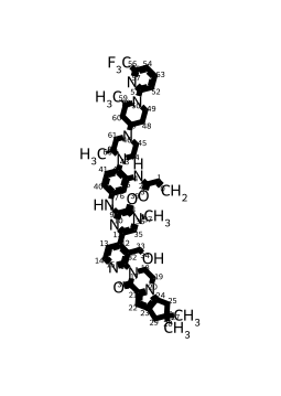 C=CC(=O)Nc1cc(Nc2nc(-c3ccnc(N4CCn5c(cc6c5CC(C)(C)C6)C4=O)c3CO)cn(C)c2=O)ccc1N1CCN(C2CCN(c3cccc(C(F)(F)F)n3)[C@@H](C)C2)C[C@@H]1C